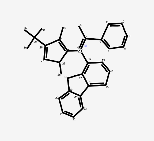 CC1=[C](/[Zr](=[C](\C)c2ccccc2)[c]2cccc3c2Cc2ccccc2-3)C(C)C=C1C(C)(C)C